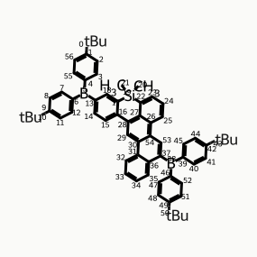 CC(C)(C)c1ccc(B(c2ccc(C(C)(C)C)cc2)c2ccc3c(c2)[Si](C)(C)c2cccc4c2c-3cc2c3ccccc3c(B(c3ccc(C(C)(C)C)cc3)c3ccc(C(C)(C)C)cc3)cc42)cc1